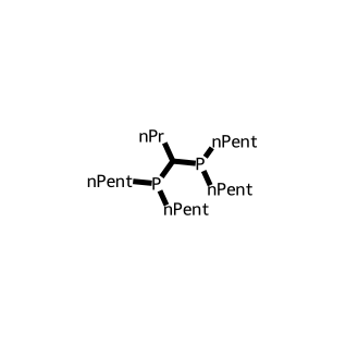 CCCCCP(CCCCC)C(CCC)P(CCCCC)CCCCC